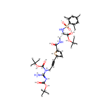 Cc1cc(C)c(S(=O)(=O)N[C@@H](CNC(=O)c2ccc(C#CCN(C(=O)OC(C)(C)C)C(N)=NC(=O)OC(C)(C)C)s2)C(=O)OC(C)(C)C)c(C)c1